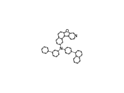 c1ccc(-c2cccc(N(c3ccc(-c4cccc5ccccc45)cc3)c3ccc4ccc5oc6cnccc6c5c4c3)c2)cc1